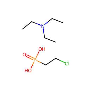 CCN(CC)CC.O=P(O)(O)CCCl